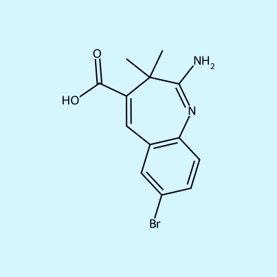 CC1(C)C(C(=O)O)=Cc2cc(Br)ccc2N=C1N